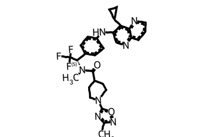 Cc1noc(N2CCC(C(=O)N(C)[C@@H](c3ccc(Nc4cnc5cccnc5c4C4CC4)cc3)C(F)(F)F)CC2)n1